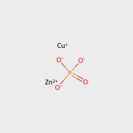 O=P([O-])([O-])[O-].[Cu+].[Zn+2]